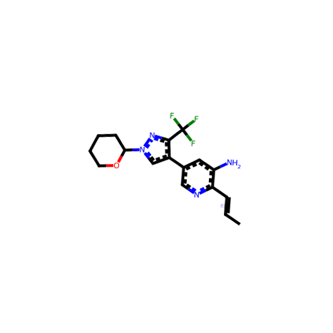 C/C=C/c1ncc(-c2cn(C3CCCCO3)nc2C(F)(F)F)cc1N